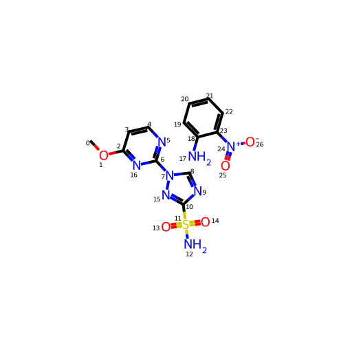 COc1ccnc(-n2cnc(S(N)(=O)=O)n2)n1.Nc1ccccc1[N+](=O)[O-]